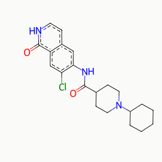 O=C(Nc1cc2cc[nH]c(=O)c2cc1Cl)C1CCN(C2CCCCC2)CC1